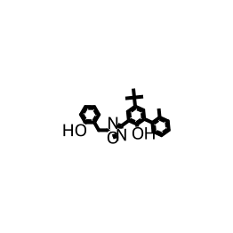 Cc1ccccc1-c1cc(C(C)(C)C)cc(-c2noc(Cc3ccccc3O)n2)c1O